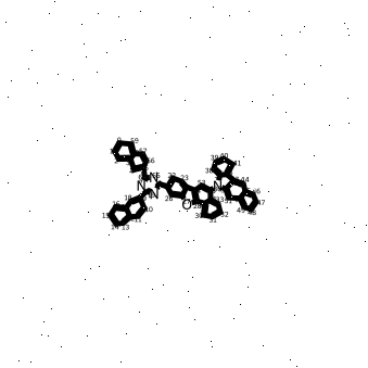 c1ccc2cc(-c3nc(-c4ccc5ccccc5c4)nc(-c4ccc5c(c4)oc4c6ccccc6c(-n6c7ccccc7c7cc8ccccc8cc76)cc54)n3)ccc2c1